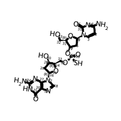 Nc1ccn([C@H]2C[C@@H](OP(=O)(S)OC[C@H]3O[C@@H](n4cnc5c(=O)[nH]c(N)nc54)C[C@H]3O)[C@@H](CO)O2)c(=O)n1